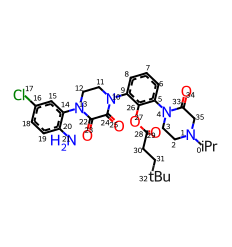 CC(C)N1CCN(c2cccc(N3CCN(c4cc(Cl)ccc4N)C(=O)C3=O)c2OC(=O)CCC(C)(C)C)C(=O)C1